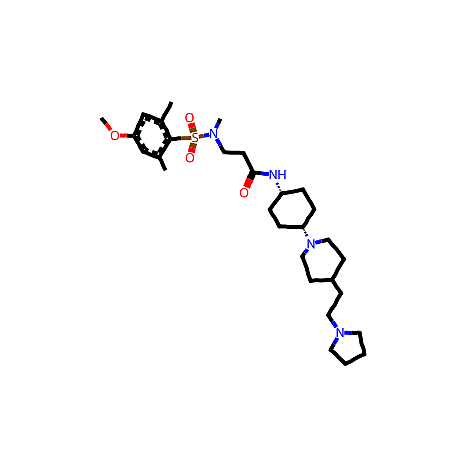 COc1cc(C)c(S(=O)(=O)N(C)CCC(=O)N[C@H]2CC[C@@H](N3CCC(CCN4CCCC4)CC3)CC2)c(C)c1